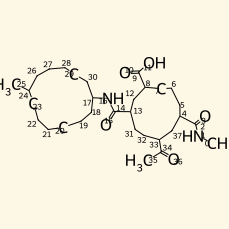 CNC(=O)C1CCCC(C(=O)O)CC(C(=O)NC2CCCCCCC(C)CCCCC2)CCC(C(C)=O)C1